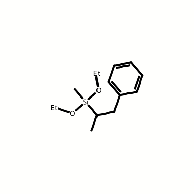 CCO[Si](C)(OCC)C(C)Cc1ccccc1